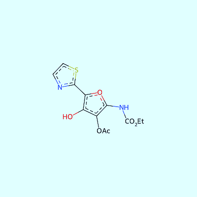 CCOC(=O)Nc1oc(-c2nccs2)c(O)c1OC(C)=O